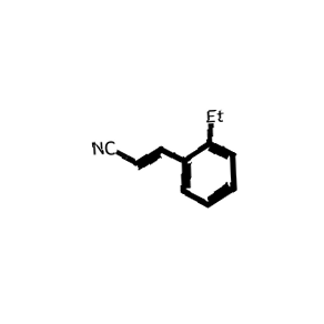 CCc1ccccc1/C=C/C#N